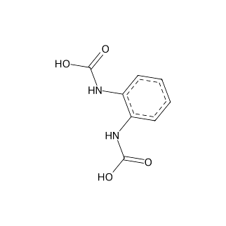 O=C(O)Nc1ccccc1NC(=O)O